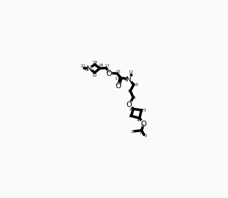 CC(C)OC1CC(OCCCN(C)C(=O)COCC2CN(C)C2)C1